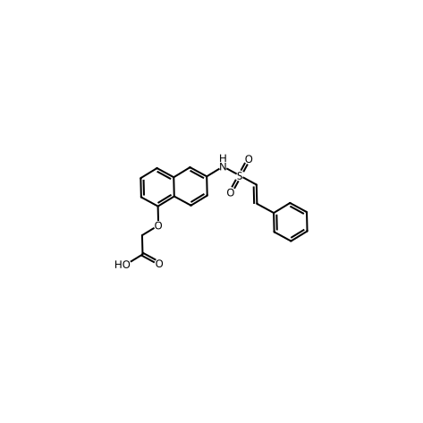 O=C(O)COc1cccc2cc(NS(=O)(=O)C=Cc3ccccc3)ccc12